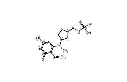 C=Nc1c(N(C)[C@H]2CC[C@@H](COP(=O)(O)S)S2)nc(N)[nH]c1=O